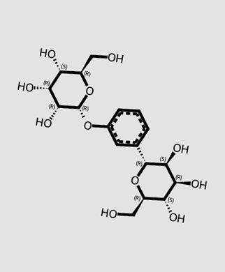 OC[C@H]1O[C@H](c2cccc(O[C@H]3O[C@H](CO)[C@@H](O)[C@@H](O)[C@H]3O)c2)[C@@H](O)[C@@H](O)[C@@H]1O